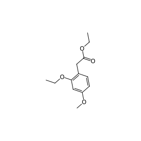 CCOC(=O)Cc1ccc(OC)cc1OCC